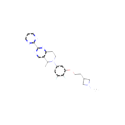 CSN1CC(CCOc2cc(N3CCc4nc(-c5ncccn5)ncc4C3C)cc(F)c2F)C1